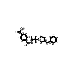 C[C@H](NC(=O)C(C)(C)N1CCC(Cc2ccccc2)C1)c1ccc(C(=O)O)cc1